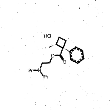 CC(C)N(CCOC(=O)[C@]1(c2ccccc2)CC[C@H]1C)C(C)C.Cl